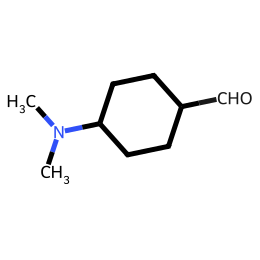 CN(C)C1CCC(C=O)CC1